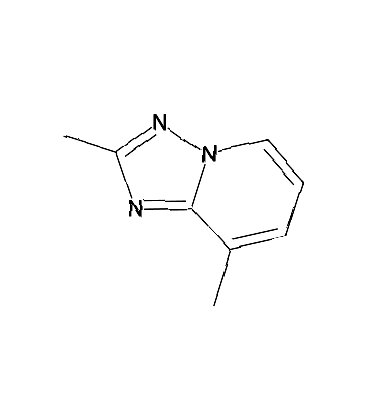 Cc1nc2c(C)cccn2n1